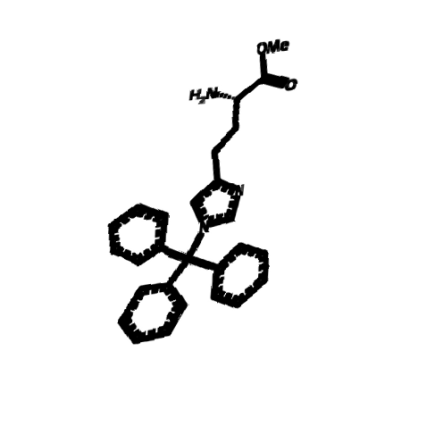 COC(=O)[C@@H](N)CCc1cn(C(c2ccccc2)(c2ccccc2)c2ccccc2)cn1